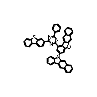 c1ccc(-c2nc(-c3ccc4c(c3)sc3ccccc34)nc(-c3cc(-n4c5ccccc5c5cc6ccccc6cc54)cc4oc5cc6ccccc6cc5c34)n2)cc1